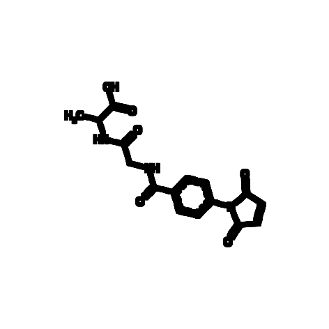 CC(NC(=O)CNC(=O)c1ccc(N2C(=O)C=CC2=O)cc1)C(=O)O